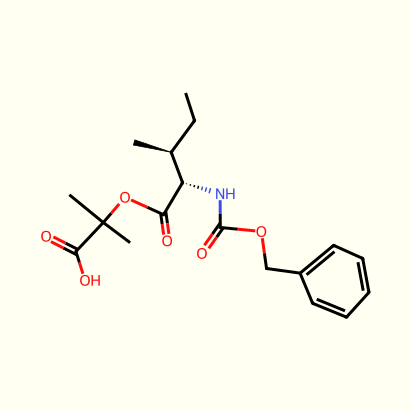 CC[C@H](C)[C@H](NC(=O)OCc1ccccc1)C(=O)OC(C)(C)C(=O)O